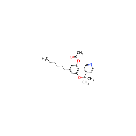 CCCCCCc1cc(OC(C)=O)c2c(c1)OC(C)(C)c1ccncc1-2